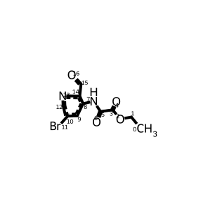 CCOC(=O)C(=O)Nc1cc(Br)cnc1C=O